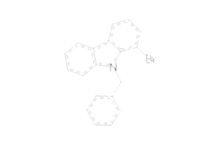 Brc1cccc2c3ccccc3n(Cc3ccccc3)c12